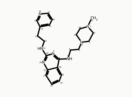 CN1CCN(CCNc2nc(NCCc3cccnc3)nc3ccccc23)CC1